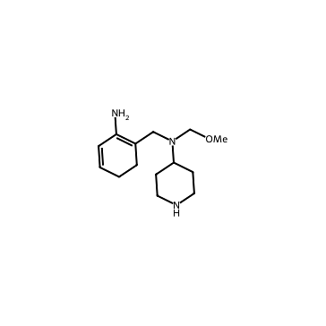 COCN(CC1=C(N)C=CCC1)C1CCNCC1